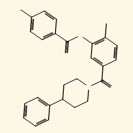 Cc1ccc(C(=O)N2CCC(c3ccccc3)CC2)cc1NC(=O)c1ccc(Cl)cc1